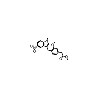 COC(=O)Cc1ccc(Cc2cn(C)c3ccc([N+](=O)[O-])cc23)c(OC)c1